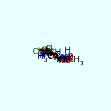 CC(C)(c1ccc(-c2ccc3cnc(NS(C)(=O)=O)nc3c2)cc1)c1cc(Cl)c(OCCCl)c(C#N)c1